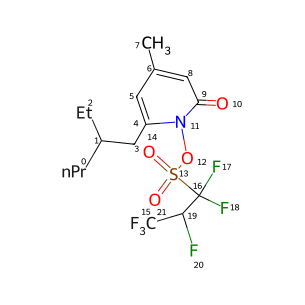 CCCC(CC)Cc1cc(C)cc(=O)n1OS(=O)(=O)C(F)(F)C(F)C(F)(F)F